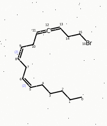 CCCCC/C=C\C/C=C\CC=C=CCCBr